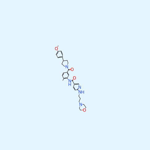 COc1ccc(C2CCN(C(=O)c3ccc(C)c(NC(=O)c4ccc(NCCCN5CCOCC5)nc4)c3)CC2)cc1